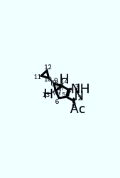 CC(=O)c1n[nH]c2c1C[C@@H]1[C@H]2[C@@H]1C1CC1